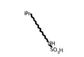 CC(C)CCCCCCCCCCCCCCCCNCCS(=O)(=O)O